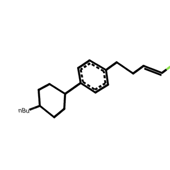 CCCCC1CCC(c2ccc(CCC=CF)cc2)CC1